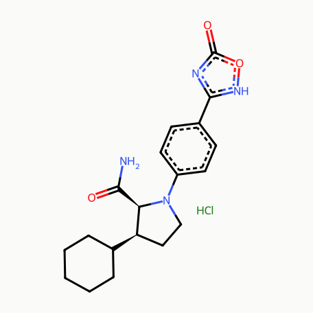 Cl.NC(=O)[C@@H]1[C@H](C2CCCCC2)CCN1c1ccc(-c2nc(=O)o[nH]2)cc1